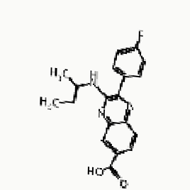 CCC(C)Nc1nc2cc(C(=O)O)ccc2nc1-c1ccc(F)cc1